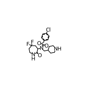 O=C1NCCC(F)(F)CC1N(CC1CCNCC1)S(=O)(=O)c1ccc(Cl)cc1